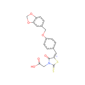 O=C(O)CN1C(=O)/C(=C\c2ccc(OCc3ccc4c(c3)OCO4)cc2)SC1=S